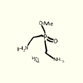 COP(=O)(CN)CN.Cl